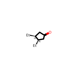 CC[C@@H]1CC(=O)C[C@@H]1CC